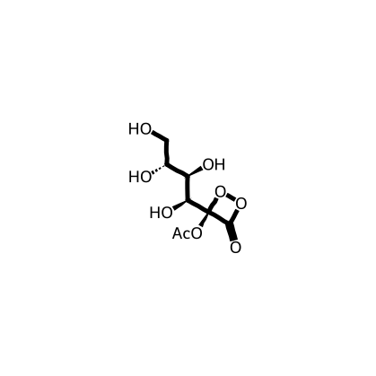 CC(=O)O[C@@]1([C@@H](O)[C@H](O)[C@H](O)CO)OOC1=O